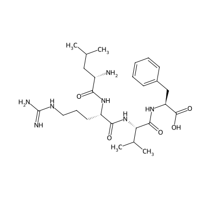 CC(C)C[C@H](N)C(=O)N[C@@H](CCCNC(=N)N)C(=O)N[C@H](C(=O)N[C@@H](Cc1ccccc1)C(=O)O)C(C)C